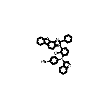 CC(C)(C)c1ccc(N(c2cccc(-n3c(-c4ccccc4)nc4c5sc6ccccc6c5ccc43)c2Cl)c2coc3ccccc23)cc1